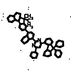 CC1(C)c2cc(-c3ccc(-c4nc(-c5ccccc5)cc(-c5cccc6c5-c5ccccc5C6(c5ccccc5)c5ccccc5)n4)c4ccccc34)ccc2-c2c1ccc1ccccc21